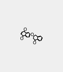 O=C1C=CC(=O)c2ccccc21.O=C1CC(=O)c2ccccc2C1